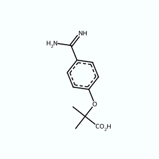 CC(C)(Oc1ccc(C(=N)N)cc1)C(=O)O